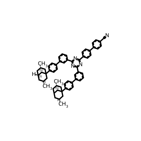 C[C@@H]1CC2C[C@H](C)CC(c3ccc(-c4cccc(-c5nc(-c6ccc(-c7ccc(C#N)cc7)cc6)nc(-c6cccc(-c7ccc(C89C[C@H](C)C[C@H](C[C@H](C)C8)C9)cc7)c6)n5)c4)cc3)(C2)C1